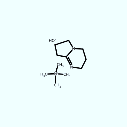 C1CN=C2CCCN2C1.C[N+](C)(C)C.[OH-]